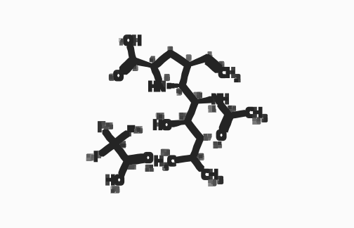 C=C[C@@H]1C[C@H](C(=O)O)N[C@H]1[C@@H](NC(C)=O)[C@H](O)CC(C)C.O=C(O)C(F)(F)F